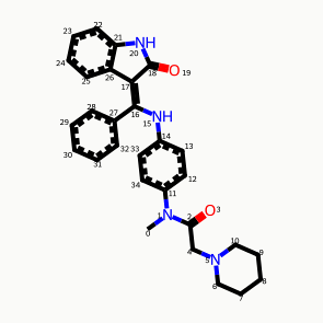 CN(C(=O)CN1CCCCC1)c1ccc(N/C(=C2\C(=O)Nc3ccccc32)c2ccccc2)cc1